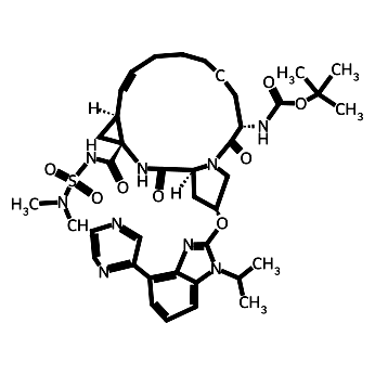 CC(C)n1c(O[C@@H]2C[C@H]3C(=O)N[C@]4(C(=O)NS(=O)(=O)N(C)C)C[C@H]4/C=C\CCCCC[C@H](NC(=O)OC(C)(C)C)C(=O)N3C2)nc2c(-c3cnccn3)cccc21